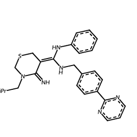 CC(C)CN1CSC/C(=C(/NCc2ccc(-c3ncccn3)cc2)Nc2ccccc2)C1=N